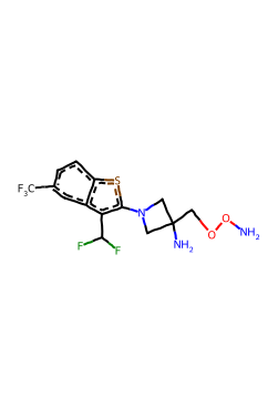 NOOCC1(N)CN(c2sc3ccc(C(F)(F)F)cc3c2C(F)F)C1